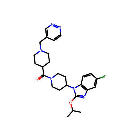 CC(C)Oc1nc2cc(F)ccc2n1C1CCN(C(=O)C2CCN(Cc3ccnnc3)CC2)CC1